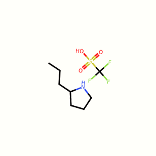 CCCC1CCCN1.O=S(=O)(O)C(F)(F)F